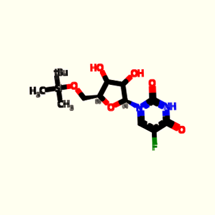 CC(C)(C)[Si](C)(C)OC[C@@H]1O[C@H](n2cc(F)c(=O)[nH]c2=O)C(O)C1O